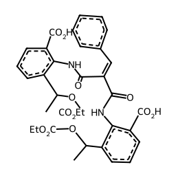 CCOC(=O)OC(C)c1cccc(C(=O)O)c1NC(=O)C(=Cc1ccccc1)C(=O)Nc1c(C(=O)O)cccc1C(C)OC(=O)OCC